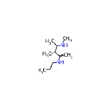 C=C(NCCC)C(C)C(C)NC